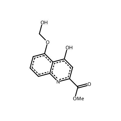 COC(=O)c1cc(O)c2c(OCO)cccc2n1